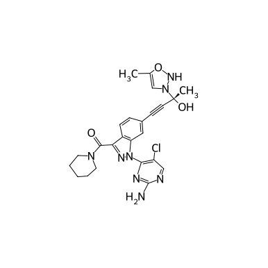 CC1=CN([C@](C)(O)C#Cc2ccc3c(C(=O)N4CCCCC4)nn(-c4nc(N)ncc4Cl)c3c2)NO1